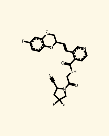 N#CC1CC(F)(F)CN1C(=O)CNC(=O)c1ccncc1C=CC1CNc2cc(F)ccc2O1